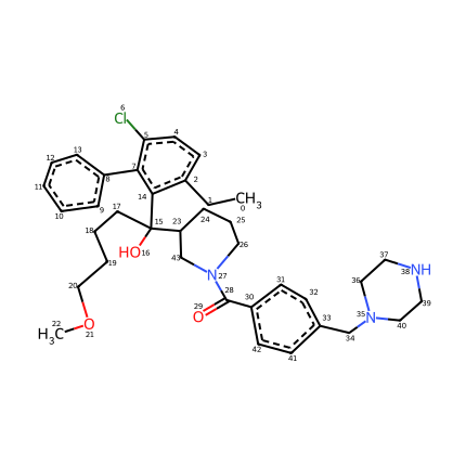 CCc1ccc(Cl)c(-c2ccccc2)c1C(O)(CCCCOC)C1CCCN(C(=O)c2ccc(CN3CCNCC3)cc2)C1